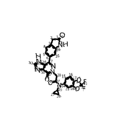 O=C1Cc2ccc(-c3nn(CC(=O)N(c4ccc5c(c4)OC(F)(F)O5)C4CC4)c(=O)c4nc[nH]c34)cc2N1